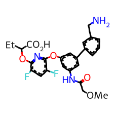 CCC(Oc1nc(Oc2cc(NC(=O)COC)cc(-c3cccc(CN)c3)c2)c(F)cc1F)C(=O)O